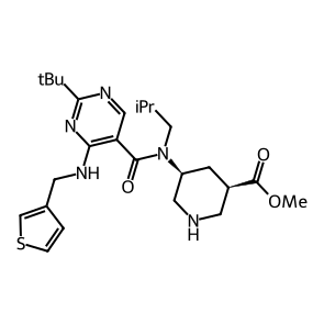 COC(=O)[C@H]1CNC[C@@H](N(CC(C)C)C(=O)c2cnc(C(C)(C)C)nc2NCc2ccsc2)C1